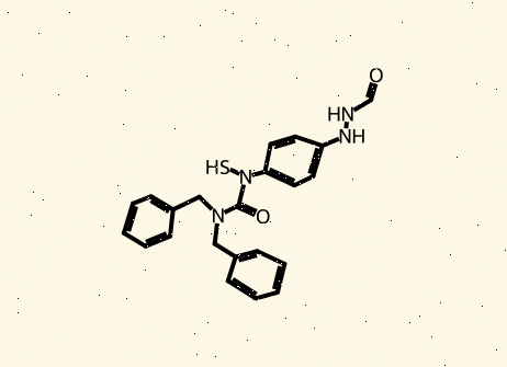 O=CNNc1ccc(N(S)C(=O)N(Cc2ccccc2)Cc2ccccc2)cc1